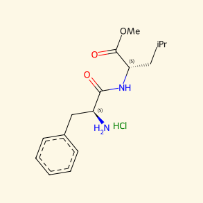 COC(=O)[C@H](CC(C)C)NC(=O)[C@@H](N)Cc1ccccc1.Cl